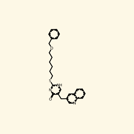 O=c1nc(SCCCCCCOCc2ccccc2)[nH]cc1Cc1cnc2ccccc2c1